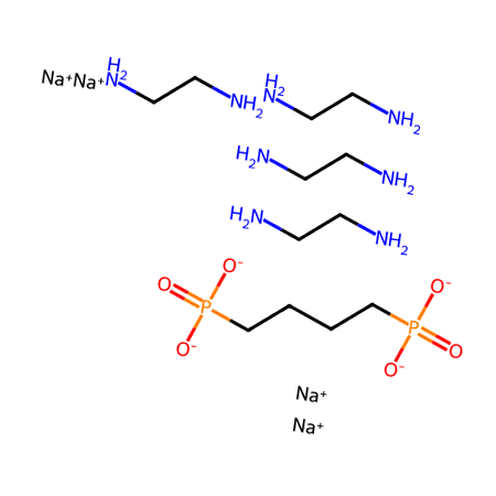 NCCN.NCCN.NCCN.NCCN.O=P([O-])([O-])CCCCP(=O)([O-])[O-].[Na+].[Na+].[Na+].[Na+]